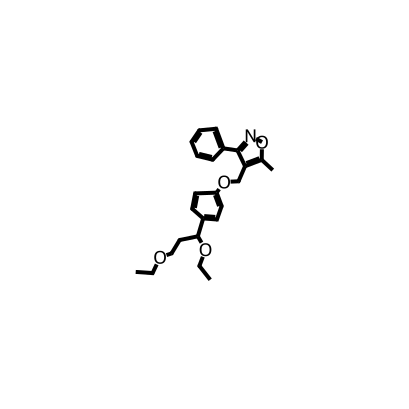 CCOCCC(OCC)c1ccc(OCc2c(-c3ccccc3)noc2C)cc1